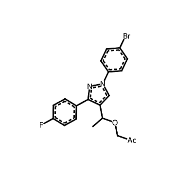 CC(=O)COC(C)c1cn(-c2ccc(Br)cc2)nc1-c1ccc(F)cc1